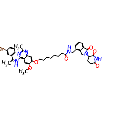 COc1cc2c(N[C@H](C)c3cccc(Br)c3)nc(C)nc2cc1OCCCCCCCC(=O)NCc1cccc2c1CN(C1CCC(=O)NC1=O)C2=O